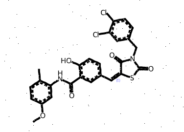 COc1ccc(C)c(NC(=O)c2cc(/C=C3/SC(=O)N(Cc4ccc(Cl)c(Cl)c4)C3=O)ccc2O)c1